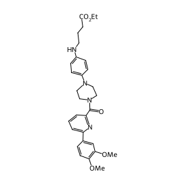 CCOC(=O)CCCNc1ccc(N2CCN(C(=O)c3cccc(-c4ccc(OC)c(OC)c4)n3)CC2)cc1